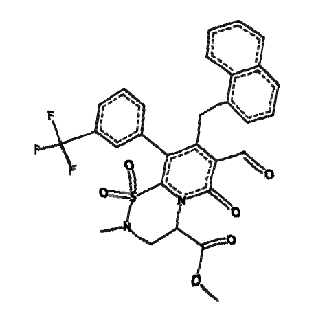 COC(=O)C1CN(C)S(=O)(=O)c2c(-c3cccc(C(F)(F)F)c3)c(Cc3cccc4ccccc34)c(C=O)c(=O)n21